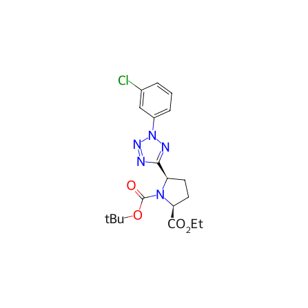 CCOC(=O)[C@@H]1CC[C@H](c2nnn(-c3cccc(Cl)c3)n2)N1C(=O)OC(C)(C)C